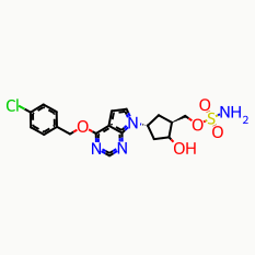 NS(=O)(=O)OC[C@@H]1C[C@@H](n2ccc3c(OCc4ccc(Cl)cc4)ncnc32)CC1O